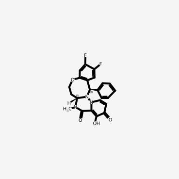 CN1C(=O)c2c(O)c(=O)ccn2N2[C@H](c3ccccc3)c3cc(F)c(F)cc3OCC[C@@H]12